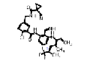 C=CC(Nc1cccc(NC(=O)c2cc(CNC(=O)C3(C#N)CC3)ccc2Cl)c1C=N)=C(C)/C=C(\C)C(F)(F)F